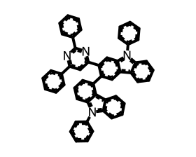 c1ccc(-c2cc(-c3cc4c(cc3-c3cccc5c3c3ccccc3n5-c3ccccc3)c3ccccc3n4-c3ccccc3)nc(-c3ccccc3)n2)cc1